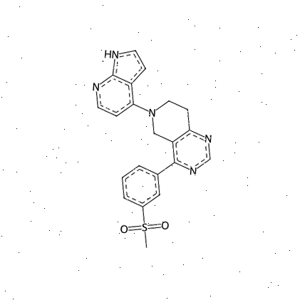 CS(=O)(=O)c1cccc(-c2ncnc3c2CN(c2ccnc4[nH]ccc24)CC3)c1